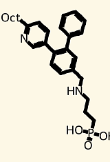 CCCCCCCCc1ccc(-c2ccc(CNCCCP(=O)(O)O)cc2-c2ccccc2)cn1